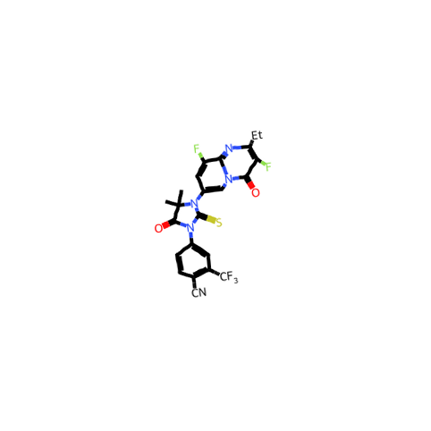 CCc1nc2c(F)cc(N3C(=S)N(c4ccc(C#N)c(C(F)(F)F)c4)C(=O)C3(C)C)cn2c(=O)c1F